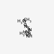 Cc1c(Nc2c(C#N)cnc3sc(-c4ccc(OCCCN(C)C)nc4)cc23)ccc2[nH]ccc12